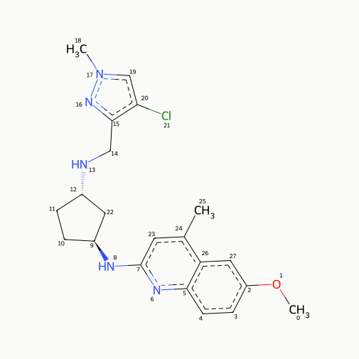 COc1ccc2nc(N[C@H]3CC[C@H](NCc4nn(C)cc4Cl)C3)cc(C)c2c1